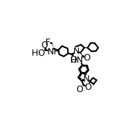 O=C(O)N[C@H](CF)C1CCC(C(=O)N2CC[C@@H](C3CCCCC3)[C@H]2C(=O)Nc2ccc3c(c2)cc2n3C3(CCC3)OC2=O)CC1